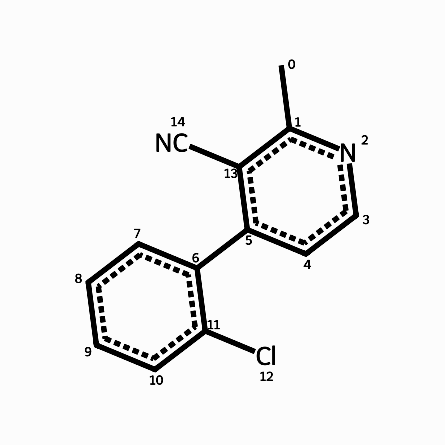 Cc1nccc(-c2ccccc2Cl)c1C#N